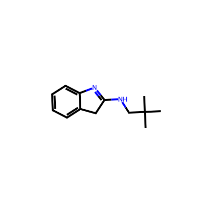 CC(C)(C)CNC1=Nc2ccccc2C1